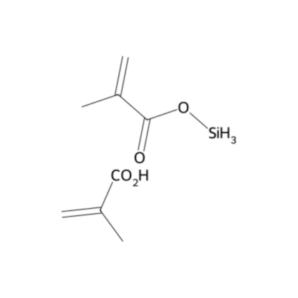 C=C(C)C(=O)O.C=C(C)C(=O)O[SiH3]